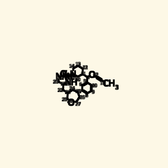 CC#COC(c1ccccc1)[C@@H]1CCCN(C(=O)N[C@H](CNC)C[C@H]2CCCCOC2)C1